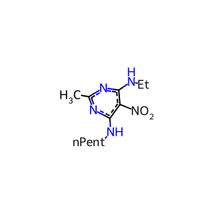 CCCCCNc1nc(C)nc(NCC)c1[N+](=O)[O-]